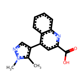 Cc1c(-c2cc(C(=O)O)nc3ccccc23)cnn1C